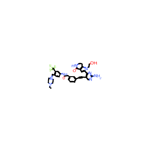 CCN1CCN(Cc2ccc(NC(=O)Cc3cccc(C#Cc4cnc(N)nc4-c4cc5c(n4CCO)CCNC5=O)c3)cc2C(F)(F)F)CC1